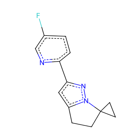 Fc1ccc(-c2cc3n(n2)C2(CC3)CC2)nc1